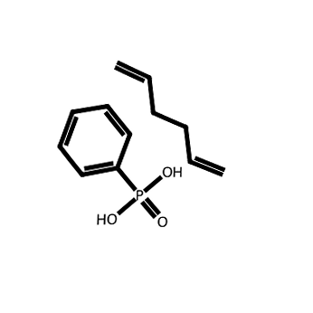 C=CCCC=C.O=P(O)(O)c1ccccc1